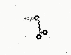 O=C(O)C1CCCN(CCCCCCN(c2ccccc2)c2ccccc2)C1